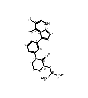 CCc1c[nH]c2ncc(-c3cccc(N4CCCN(CC(OC)OC)C4=O)c3)c-2c1Cl